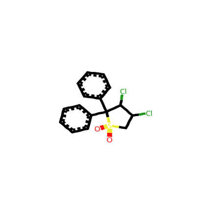 O=S1(=O)CC(Cl)C(Cl)C1(c1ccccc1)c1ccccc1